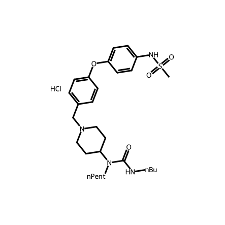 CCCCCN(C(=O)NCCCC)C1CCN(Cc2ccc(Oc3ccc(NS(C)(=O)=O)cc3)cc2)CC1.Cl